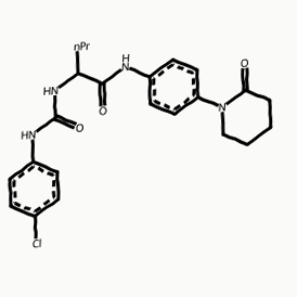 CCCC(NC(=O)Nc1ccc(Cl)cc1)C(=O)Nc1ccc(N2CCCCC2=O)cc1